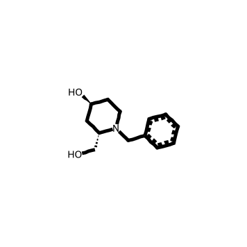 OC[C@@H]1C[C@@H](O)CCN1Cc1ccccc1